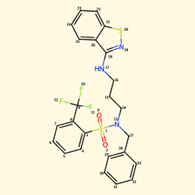 O=S(=O)(c1ccccc1C(F)(F)F)N(CCCNc1nsc2ccccc12)Cc1ccccc1